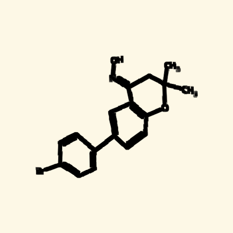 CC1(C)CC(=NO)c2cc(-c3ccc(Br)cc3)ccc2O1